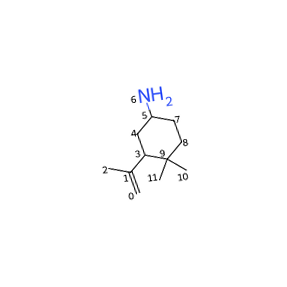 C=C(C)C1CC(N)CCC1(C)C